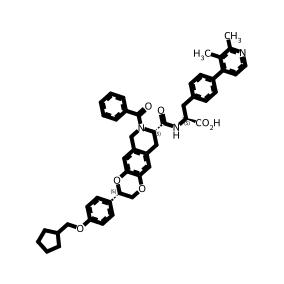 Cc1nccc(-c2ccc(C[C@H](NC(=O)[C@@H]3Cc4cc5c(cc4CN3C(=O)c3ccccc3)O[C@@H](c3ccc(OCC4CCCC4)cc3)CO5)C(=O)O)cc2)c1C